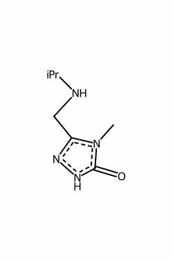 CC(C)NCc1n[nH]c(=O)n1C